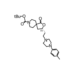 Cc1ccc(N2CCN(CC[C@@H]3CC4(CCN(C(=O)OC(C)(C)C)CC4)C(=O)O3)CC2)cc1